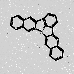 c1ccc2cc3c(cc2c1)c1cccc2c4cc5ccccc5cc4n3c12